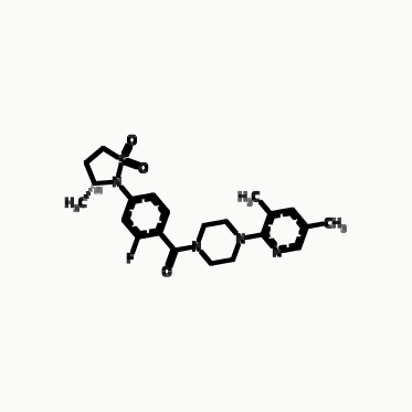 Cc1cnc(N2CCN(C(=O)c3ccc(N4[C@H](C)CCS4(=O)=O)cc3F)CC2)c(C)c1